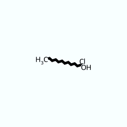 CCCCCCCCCCCC(O)Cl